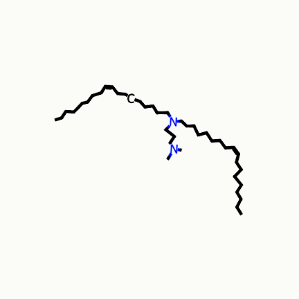 CCCCCCCC/C=C\CCCCCCCCN(CCCCCCCC/C=C\CCCCCCCC)CCCN(C)C